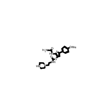 COc1ccc(-c2cc(OC(=O)NCCN3CCNCC3)c(NC(N)=O)s2)cc1